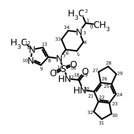 CC(C)N1CCC(N(c2cnn(C)c2)S(=O)(=O)NC(=O)Nc2c3c(cc4c2CCC4)CCC3)CC1